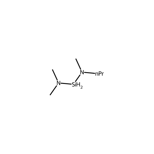 CCCN(C)[SiH2]N(C)C